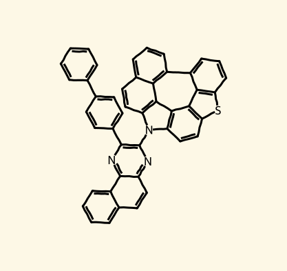 c1ccc(-c2ccc(-c3nc4c(ccc5ccccc54)nc3-n3c4ccc5cccc6c5c4c4c5c(ccc43)sc3cccc-6c35)cc2)cc1